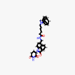 CN(CCCCCC(=O)NCc1ccc2c3c(cccc13)C(=O)N2C1CCC(=O)NC1=O)C12CC3CC(CC(C3)C1)C2